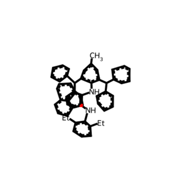 CCc1cccc(CC)c1NC1=C(Nc2c(C(c3ccccc3)c3ccccc3)cc(C)cc2C(c2ccccc2)c2ccccc2)c2cccc3cccc1c23